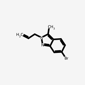 C=CCn1nc2cc(Br)ccc2c1C